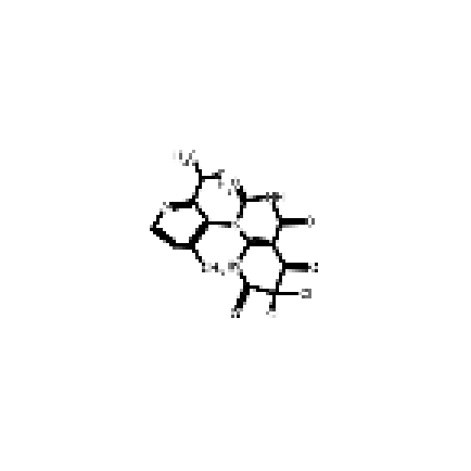 Cc1ccnc(C(C)C)c1-n1c2c(c(=O)[nH]c1=O)C(=O)C(Cl)(Cl)C(=O)N2